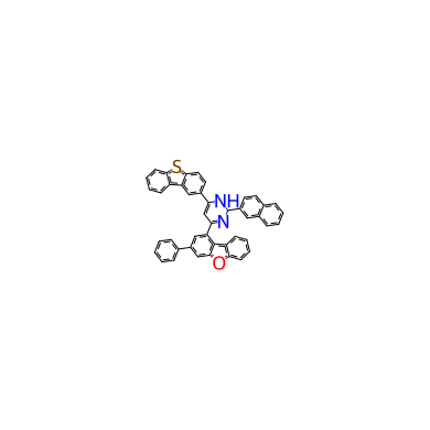 C1=C(c2ccc3sc4ccccc4c3c2)NC(c2ccc3ccccc3c2)N=C1c1cc(-c2ccccc2)cc2oc3ccccc3c12